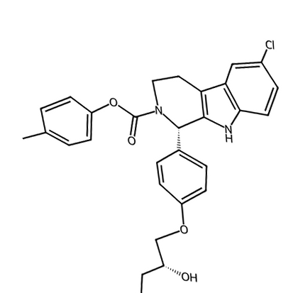 Cc1ccc(OC(=O)N2CCc3c([nH]c4ccc(Cl)cc34)[C@@H]2c2ccc(OC[C@H](O)CO)cc2)cc1